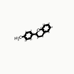 Cc1ccc(C2CCc3ccccc3O2)cc1